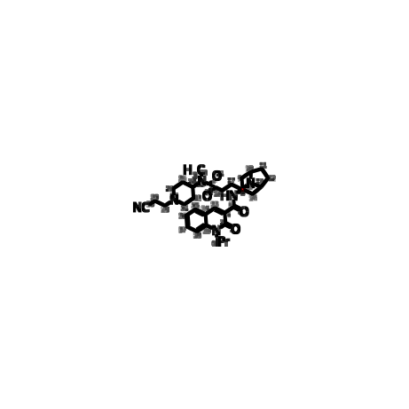 CC(C)n1c(=O)c(C(=O)NC2CC3CCC(C2)N3CCCS(=O)(=O)N(C)C2CCN(CCC#N)CC2)cc2ccccc21